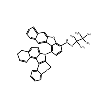 CC(C)(O)C(C)(C)OBc1ccc(-n2c3c(c4c5c(ccc42)CCC=C5)-c2ccccc2CC3)c2c1oc1cc3ccccc3cc12